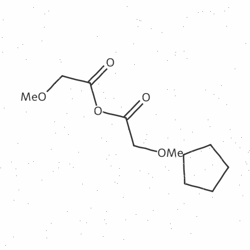 C1CCCC1.COCC(=O)OC(=O)COC